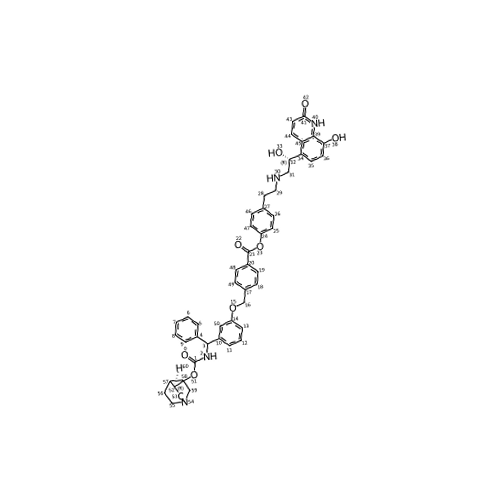 O=C(NC(c1ccccc1)c1cccc(OCc2ccc(C(=O)Oc3ccc(CCNC[C@H](O)c4ccc(O)c5[nH]c(=O)ccc45)cc3)cc2)c1)O[C@H]1CN2CCC1CC2